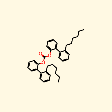 CCCCCCc1ccccc1-c1ccccc1OC(=O)Oc1ccccc1-c1ccccc1CCCCCC